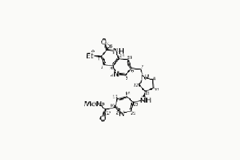 CCc1cc2ncc(CN3CC[C@@H](Nc4ccc(C(=O)NC)nc4)C3)cc2[nH]c1=O